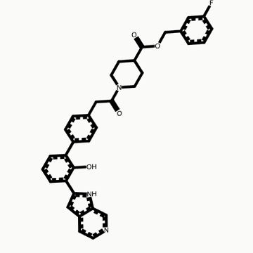 O=C(OCc1cccc(F)c1)C1CCN(C(=O)Cc2ccc(-c3cccc(-c4cc5ccncc5[nH]4)c3O)cc2)CC1